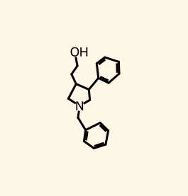 OCCC1CN(Cc2ccccc2)CC1c1ccccc1